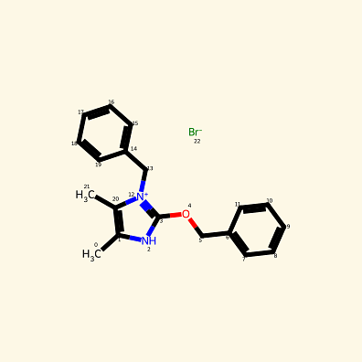 Cc1[nH]c(OCc2ccccc2)[n+](Cc2ccccc2)c1C.[Br-]